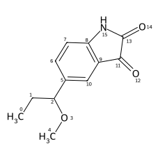 CCC(OC)c1ccc2c(c1)C(=O)C(=O)N2